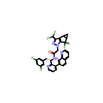 O=C(Cn1nc(C(F)F)c2c1C(F)(F)C1CC21)N[C@@H](Cc1cc(F)cc(F)c1)c1ncccc1-c1ccc2cccnc2c1